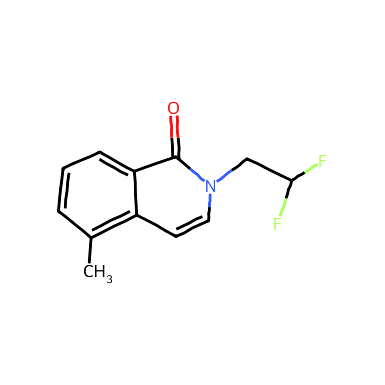 Cc1cccc2c(=O)n(CC(F)F)ccc12